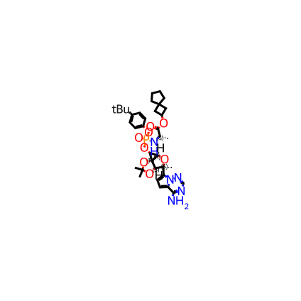 C[C@H](NP(=O)(Oc1ccc(C(C)(C)C)cc1)OC1[C@H]2O[C@@](C)(c3ccc4c(N)ncnn34)[C@@H]3OC(C)(C)O[C@]123)C(=O)OC1CC2(CCCC2)C1